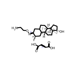 C[C@]12CC[C@H]3[C@@H](CCC4C/C(=N\OCCN)[C@H](F)C[C@@]43C)[C@@H]1CC[C@@H]2O.O=C(O)/C=C/C(=O)O